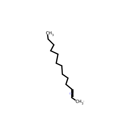 [CH2]/C=C/CCCCCCCCCC